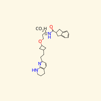 O=C(N[C@@H](CCOC1CC(CCc2ccc3c(n2)NCCC3)C1)C(=O)O)C1Cc2ccccc2C1